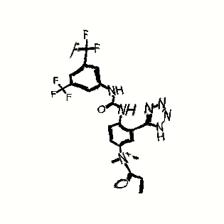 C=CC(=O)[N+](C)(C)c1ccc(NC(=O)Nc2cc(C(F)(F)F)cc(C(F)(F)F)c2)c(-c2nnn[nH]2)c1